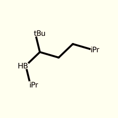 CC(C)BC(CCC(C)C)C(C)(C)C